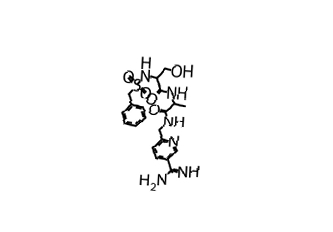 CC(NC(=O)C(CO)NS(=O)(=O)Cc1ccccc1)C(=O)NCc1ccc(C(=N)N)cn1